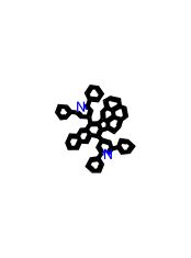 c1ccc(-c2cc(-c3c4c(c(-c5cc(-c6ccccc6)nc(-c6ccccc6)c5)c5cc6ccccc6cc35)-c3cc5cccc6ccc7ccc-4c3c7c65)cc(-c3ccccc3)n2)cc1